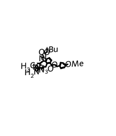 COc1ccc(COC(=O)c2ccc3c(c(CCN(C)C)nn3C(=O)OC(C)(C)C)c2Cc2nc(N)ns2)cc1